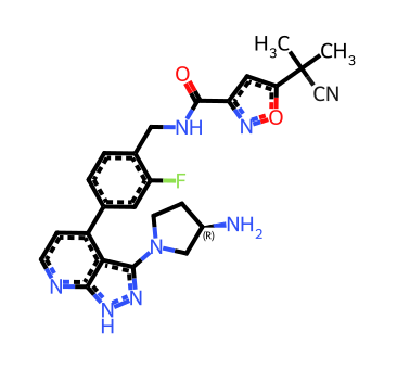 CC(C)(C#N)c1cc(C(=O)NCc2ccc(-c3ccnc4[nH]nc(N5CC[C@@H](N)C5)c34)cc2F)no1